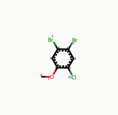 COc1cc(Br)c(Br)cc1Cl